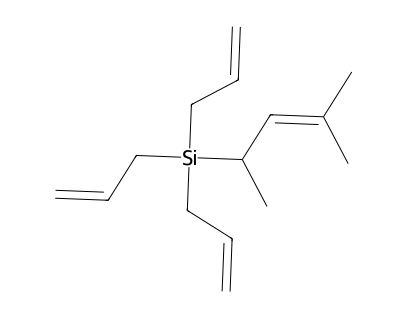 C=CC[Si](CC=C)(CC=C)C(C)C=C(C)C